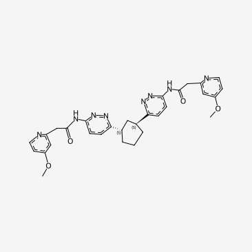 COc1ccnc(CC(=O)Nc2ccc([C@H]3CCC[C@H](c4ccc(NC(=O)Cc5cc(OC)ccn5)nn4)C3)nn2)c1